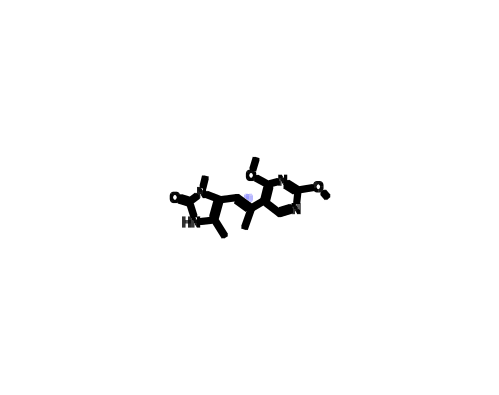 COc1ncc(/C(C)=C/c2c(C)[nH]c(=O)n2C)c(OC)n1